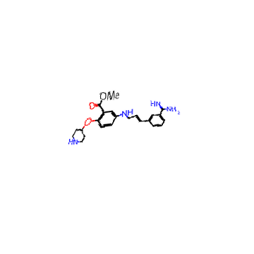 COC(=O)c1cc(NC/C=C/c2cccc(C(=N)N)c2)ccc1OC1CCNCC1